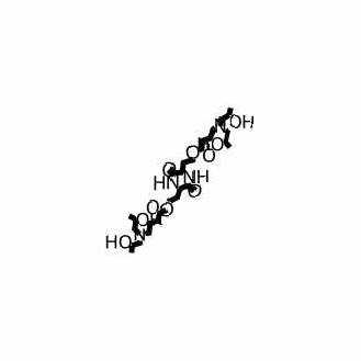 CC(O)CN(CCCC(=O)OCCC1NC(=O)C(CCOC(=O)CCCN(CC(C)O)CC(C)O)NC1=O)CC(C)O